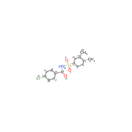 Cc1ccc(S(=O)(=O)NC(=O)c2ccc(Cl)cc2)cc1C